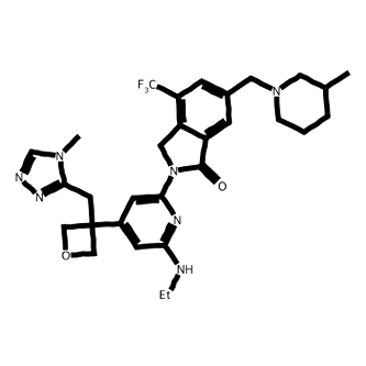 CCNc1cc(C2(Cc3nncn3C)COC2)cc(N2Cc3c(cc(CN4CCCC(C)C4)cc3C(F)(F)F)C2=O)n1